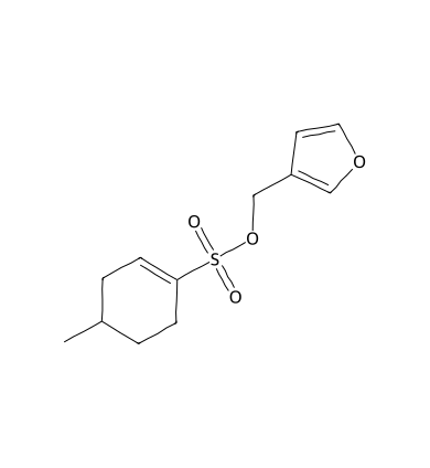 CC1CC=C(S(=O)(=O)OCc2ccoc2)CC1